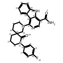 NC(=O)c1cnc(N2CCCC3(CCCN(c4ccc(F)cc4)C3=O)C2)c2c1[nH]c1ccccc12